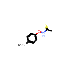 COc1ccc(ONC(C)=S)cc1